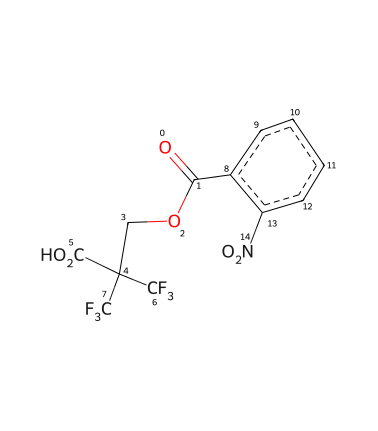 O=C(OCC(C(=O)O)(C(F)(F)F)C(F)(F)F)c1ccccc1[N+](=O)[O-]